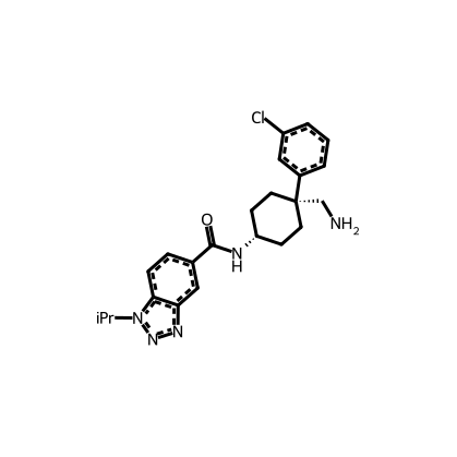 CC(C)n1nnc2cc(C(=O)N[C@H]3CC[C@](CN)(c4cccc(Cl)c4)CC3)ccc21